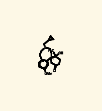 COc1ccc2c(c1)[C@@]1(CCN(CC3CC3)CC2)CC(=O)CCC1(C)O